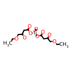 CCOCC(=O)CC(=O)[O][Ti](=[O])[O]C(=O)CC(=O)COCC